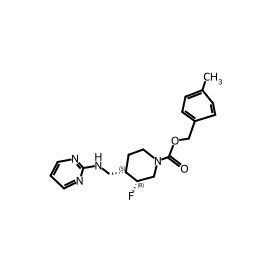 Cc1ccc(COC(=O)N2CC[C@@H](CNc3ncccn3)[C@@H](F)C2)cc1